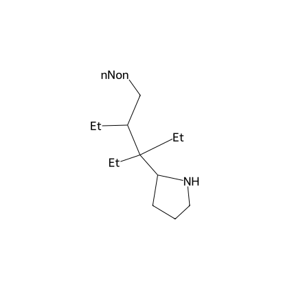 CCCCCCCCCCC(CC)C(CC)(CC)C1CCCN1